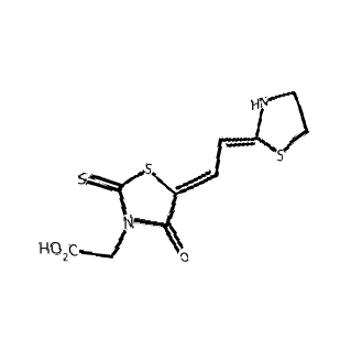 O=C(O)CN1C(=O)C(=CC=C2NCCS2)SC1=S